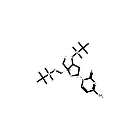 CC(C)(C)[Si](C)(C)OC[C@@]1(CCl)O[C@@H](n2ccc(N)nc2=O)CC1O[Si](C)(C)C(C)(C)C